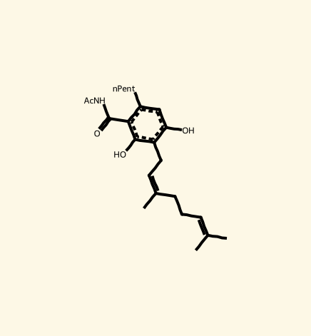 CCCCCc1cc(O)c(CC=C(C)CCC=C(C)C)c(O)c1C(=O)NC(C)=O